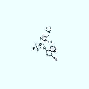 Cn1c(CN2CCCC2)nnc1[C@]12CN(c3ccc(C#N)c4ncccc34)C[C@@]1(C(F)(F)F)C2